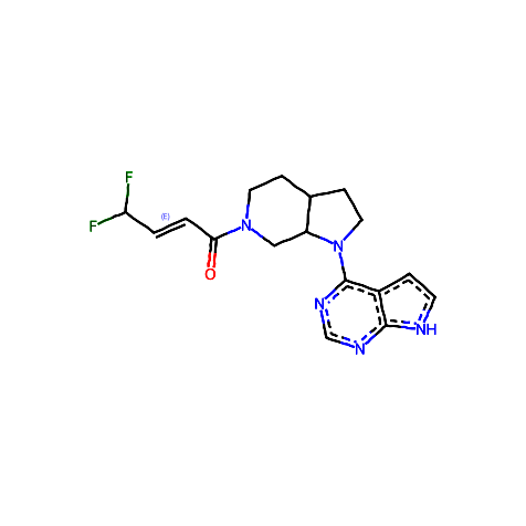 O=C(/C=C/C(F)F)N1CCC2CCN(c3ncnc4[nH]ccc34)C2C1